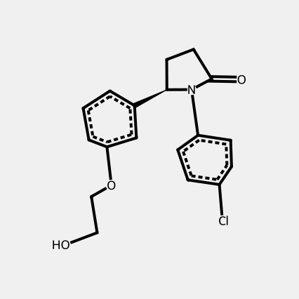 O=C1CC[C@H](c2cccc(OCCO)c2)N1c1ccc(Cl)cc1